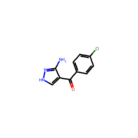 Nc1n[nH]cc1C(=O)c1ccc(Cl)cc1